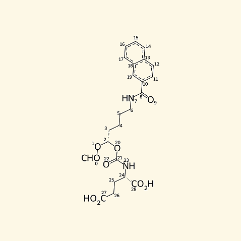 O=CO[C@H](CCCCNC(=O)c1ccc2ccccc2c1)OC(=O)N[C@@H](CCC(=O)O)C(=O)O